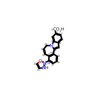 O=C(O)c1ccc2cc3n(c2c1)CC=Cc1c-3cccc1N1NC=CO1